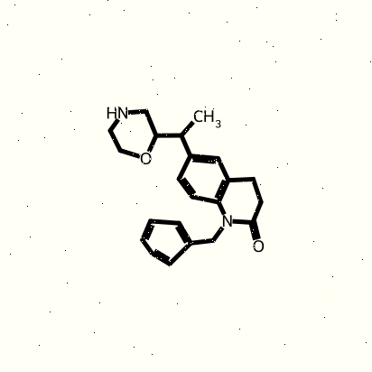 CC(c1ccc2c(c1)CCC(=O)N2Cc1ccccc1)C1CNCCO1